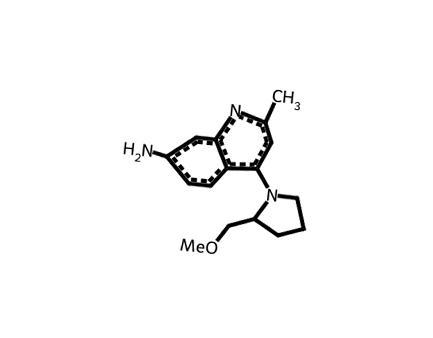 COCC1CCCN1c1cc(C)nc2cc(N)ccc12